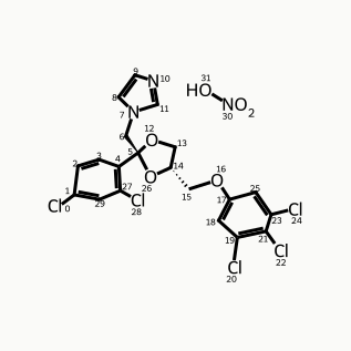 Clc1ccc([C@]2(Cn3ccnc3)OC[C@H](COc3cc(Cl)c(Cl)c(Cl)c3)O2)c(Cl)c1.O=[N+]([O-])O